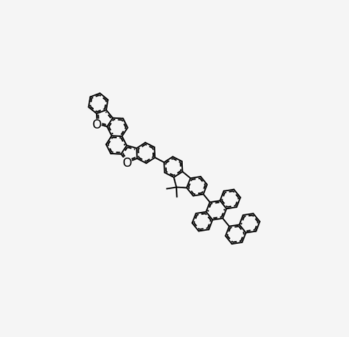 CC1(C)c2cc(-c3ccc4c(c3)oc3ccc5c(ccc6c7ccccc7oc65)c34)ccc2-c2ccc(-c3c4ccccc4c(-c4cccc5ccccc45)c4ccccc34)cc21